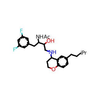 CC(=O)NC(Cc1cc(F)cc(F)c1)C(O)CNC1CCOc2ccc(CCC(C)C)cc21